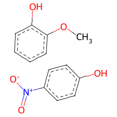 COc1ccccc1O.O=[N+]([O-])c1ccc(O)cc1